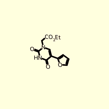 CCOC(=O)Cn1cc(-c2ccco2)c(=O)[nH]c1=O